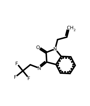 C=CCN1C(=O)C(=NCC(F)(F)F)c2ccccc21